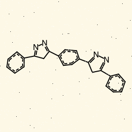 c1ccc(C2=NN=C(c3ccc(C4=NN=C(c5ccccc5)C4)cc3)C2)cc1